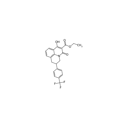 CCOC(=O)c1c(O)c2cccc3c2n(c1=O)CC(c1ccc(C(F)(F)F)cc1)C3